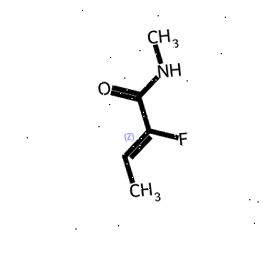 C/C=C(\F)C(=O)NC